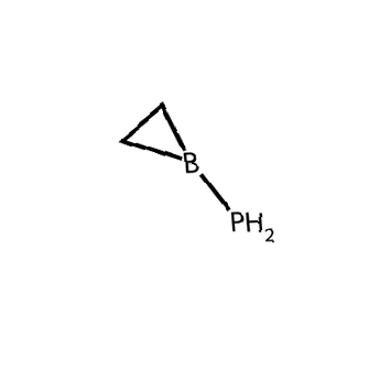 PB1CC1